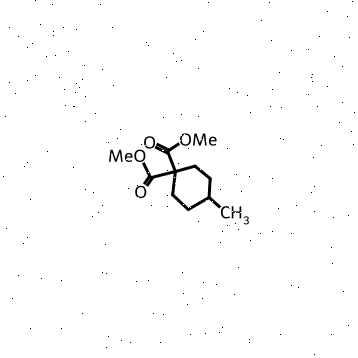 COC(=O)C1(C(=O)OC)CCC(C)CC1